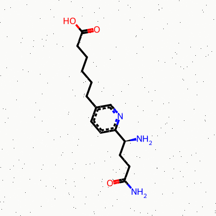 NC(=O)CC[C@H](N)c1ccc(CCCCCC(=O)O)cn1